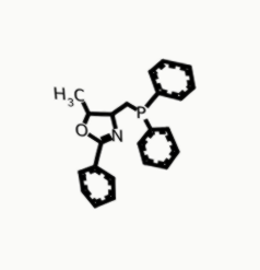 CC1OC(c2ccccc2)=NC1CP(c1ccccc1)c1ccccc1